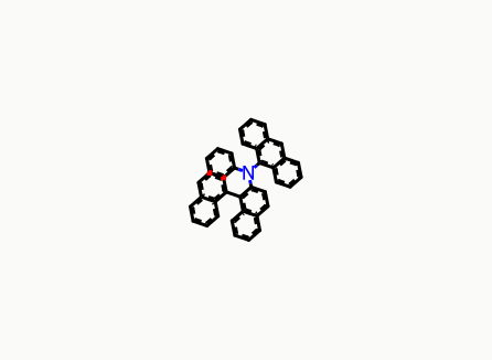 c1ccc(N(c2ccc3ccccc3c2-c2cccc3ccccc23)c2c3ccccc3cc3ccccc23)cc1